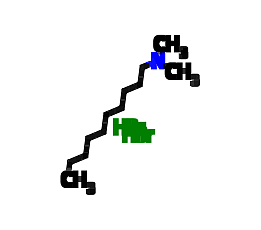 Br.Br.CCCCCCCCCCN(C)C